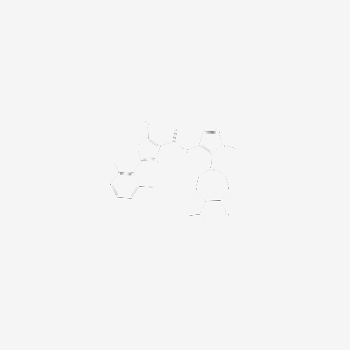 Cn1ncc(NC(=O)c2nc(-c3c(F)cccc3F)sc2N)c1N1CCC(N)C(C(F)F)CC1